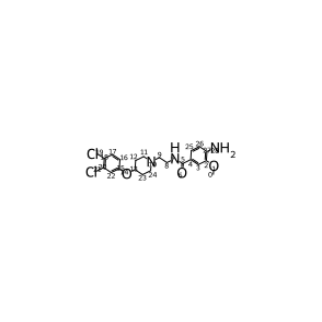 COc1cc(C(=O)NCCN2CCC(Oc3ccc(Cl)c(Cl)c3)CC2)ccc1N